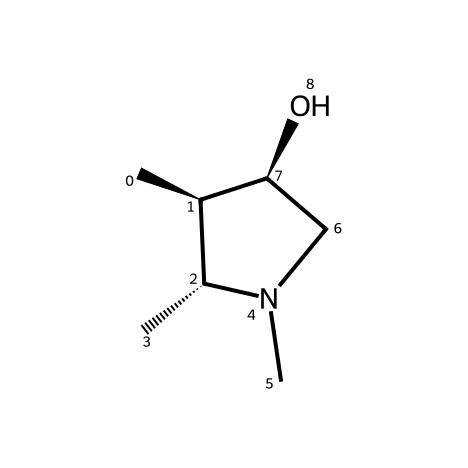 C[C@@H]1[C@@H](C)N(C)C[C@@H]1O